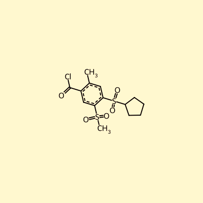 Cc1cc(S(=O)(=O)C2CCCC2)c(S(C)(=O)=O)cc1C(=O)Cl